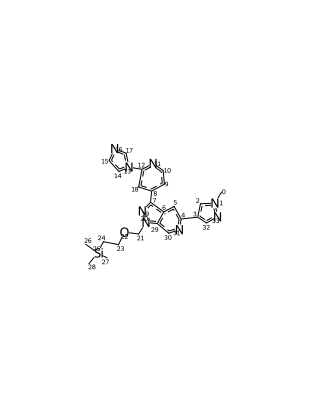 Cn1cc(-c2cc3c(-c4ccnc(-n5ccnc5)c4)nn(COCC[Si](C)(C)C)c3cn2)cn1